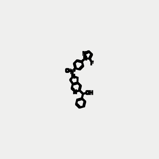 [O-][S+](c1ccc(-n2nccc2F)cc1)N1Cc2cnc(C(O)c3ccccc3)cc2C1